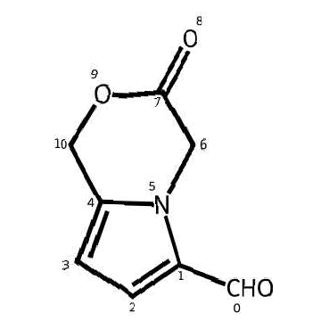 O=Cc1ccc2n1CC(=O)OC2